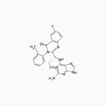 CC[C@@H](Nc1nc(N)nc2[nH]cnc12)c1nc2ccc(F)cc2c(=O)n1-c1ccccc1C